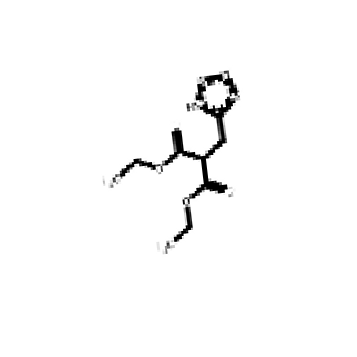 CCOC(=O)C(Cc1nnn[nH]1)C(=O)OCC